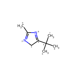 CC1=NCC(C(C)(C)C)=N1